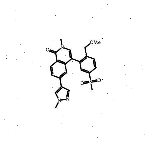 COCc1ccc(S(C)(=O)=O)cc1-c1cn(C)c(=O)c2ccc(-c3cnn(C)c3)cc12